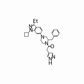 CCc1nn(C2CCC2)c2cc(N3CCN(C(=O)Cc4cn[nH]c4)C(Cc4ccccc4)C3)ccc12